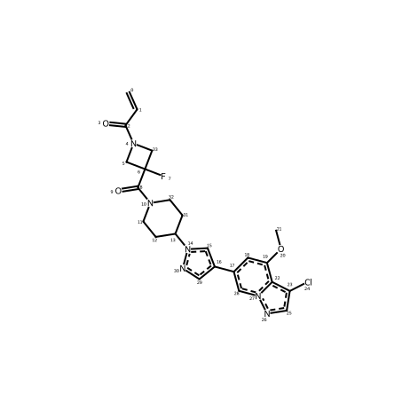 C=CC(=O)N1CC(F)(C(=O)N2CCC(n3cc(-c4cc(OC)c5c(Cl)cnn5c4)cn3)CC2)C1